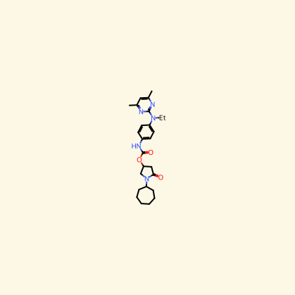 CCN(c1ccc(NC(=O)OC2CC(=O)N(C3CCCCCC3)C2)cc1)c1nc(C)cc(C)n1